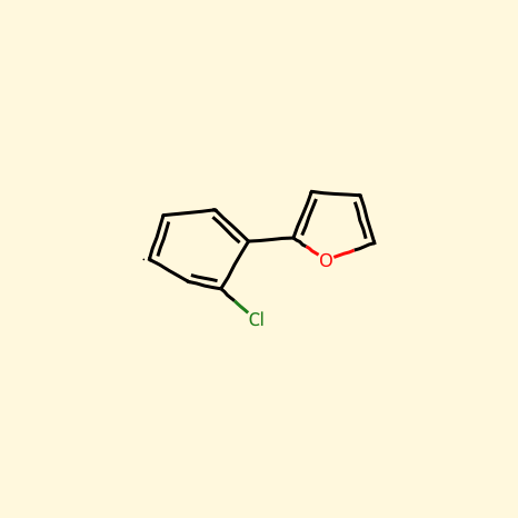 Clc1c[c]ccc1-c1ccco1